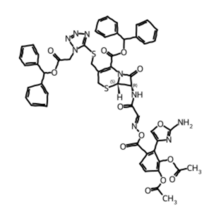 CC(=O)Oc1ccc(C(=O)ON=CC(=O)N[C@@H]2C(=O)N3C(C(=O)OC(c4ccccc4)c4ccccc4)=C(CSc4nnnn4CC(=O)OC(c4ccccc4)c4ccccc4)CS[C@@H]23)c(-c2coc(N)n2)c1OC(C)=O